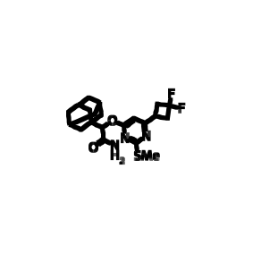 CSc1nc(OC(C(N)=O)C23CC4CC(CC(C4)C2)C3)cc(C2CC(F)(F)C2)n1